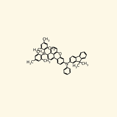 Cc1cc(C)c(B(c2c(C)cc(C)cc2C)c2ccc3c4c(cccc24)Oc2cc(N(c4ccccc4)c4ccc5c(c4)C(C)(C)c4ccccc4-5)ccc2-3)c(C)c1